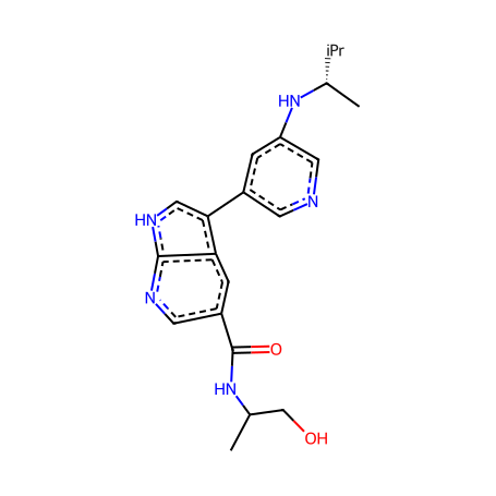 CC(CO)NC(=O)c1cnc2[nH]cc(-c3cncc(N[C@@H](C)C(C)C)c3)c2c1